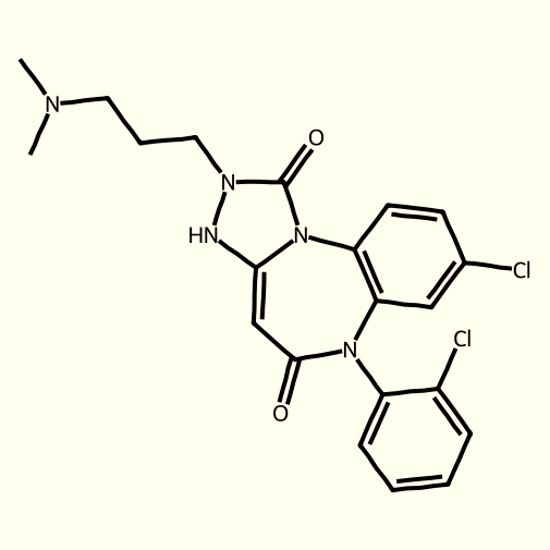 CN(C)CCCN1NC2=CC(=O)N(c3ccccc3Cl)c3cc(Cl)ccc3N2C1=O